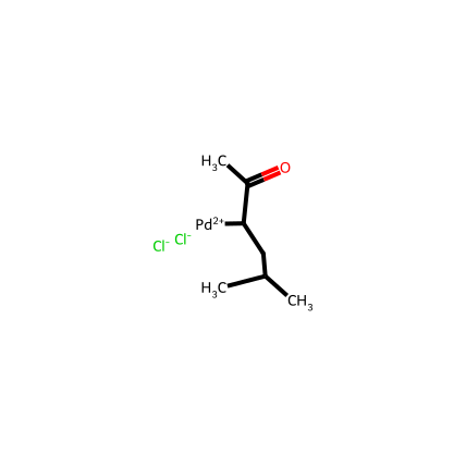 CC(=O)[CH]([Pd+2])CC(C)C.[Cl-].[Cl-]